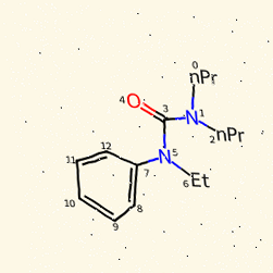 CCCN(CCC)C(=O)N(CC)c1ccccc1